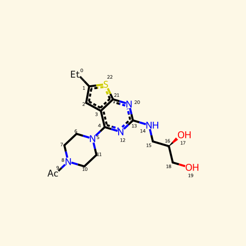 CCc1cc2c(N3CCN(C(C)=O)CC3)nc(NC[C@@H](O)CO)nc2s1